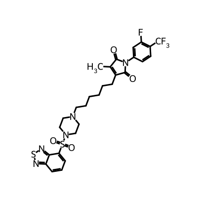 CC1=C(CCCCCCN2CCN(S(=O)(=O)c3cccc4nsnc34)CC2)C(=O)N(c2ccc(C(F)(F)F)c(F)c2)C1=O